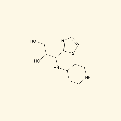 OCC(O)C(NC1CCNCC1)c1nccs1